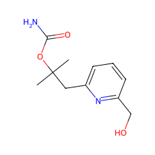 CC(C)(Cc1cccc(CO)n1)OC(N)=O